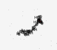 Cc1ncsc1-c1ccc([C@H](C)NC(=O)[C@H]2CCC(C(=O)[C@@H](NC(=O)CNCCNc3ccc(CCCO[C@H]4C[C@H](Oc5cc(N6C7CCC6CN(c6cc(-c8ccccc8O)nnc6N)C7)ccn5)C4)cn3)C(C)(C)C)C[C@H](O)C2)cc1